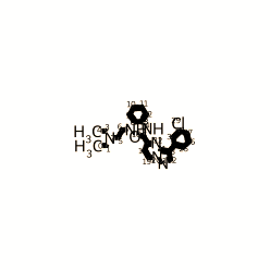 CCN(CC)CCNc1ccccc1NC(=O)c1ccn2ncc(-c3cccc(Cl)c3)c2n1